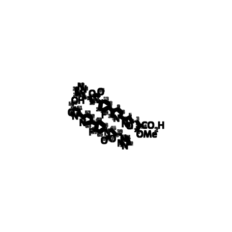 COCC(C[C@H]1CC(c2ccc(-c3ccc(N4C[C@H](Cn5ccnn5)OC4=O)cc3F)cn2)=NO1)C(=O)O.O=C1O[C@@H](Cn2ccnn2)CN1c1ccc(-c2ccc(C3=NO[C@H](CO)C3)nc2)c(F)c1